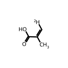 [2H]C=C(C)C(=O)O